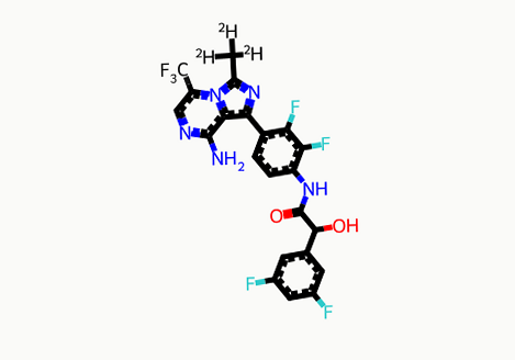 [2H]C([2H])([2H])c1nc(-c2ccc(NC(=O)C(O)c3cc(F)cc(F)c3)c(F)c2F)c2c(N)ncc(C(F)(F)F)n12